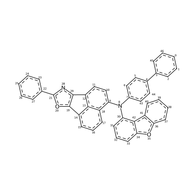 c1ccc(-c2ccc(N(c3ccc4c5c(cccc35)-c3oc(-c5ccccc5)nc3-4)c3cccc4oc5ccccc5c34)cc2)cc1